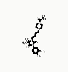 CCNC(=S)N1CCN(CCCCN2C(=S)N(c3ccc(C#N)c(C(F)(F)F)c3)C(=O)C2(C)C)CC1